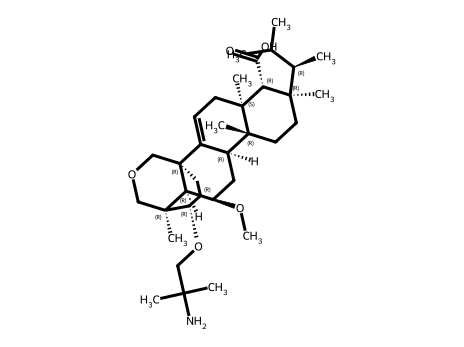 CO[C@@H]1C[C@@]23COC[C@@](C)([C@@H]2CC[C@H]2C3=CC[C@@]3(C)[C@H](C(=O)O)[C@@](C)([C@H](C)C(C)C)CC[C@]23C)[C@H]1OCC(C)(C)N